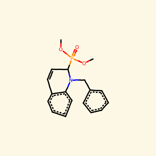 COP(=O)(OC)C1C=Cc2ccccc2N1Cc1ccccc1